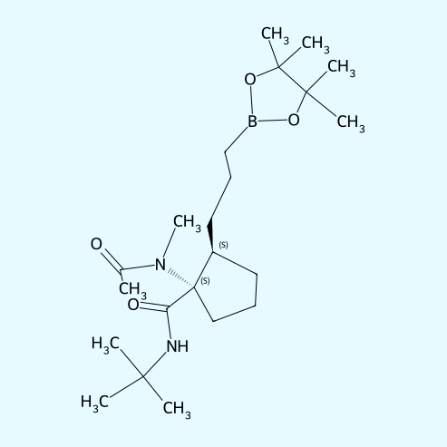 CC(=O)N(C)[C@@]1(C(=O)NC(C)(C)C)CCC[C@@H]1CCCB1OC(C)(C)C(C)(C)O1